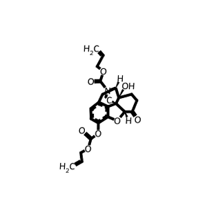 C=CCOC(=O)Oc1ccc2c3c1O[C@H]1C(=O)CC[C@@]4(O)[C@@H](C2)N(C(=O)OCC=C)CC[C@]314